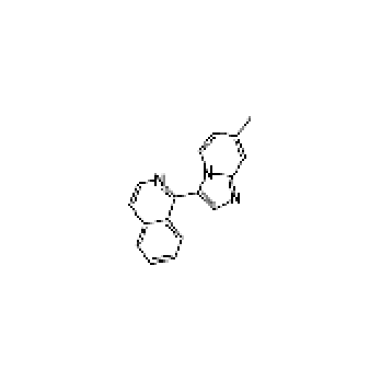 Cc1ccn2c(-c3nccc4ccccc34)cnc2c1